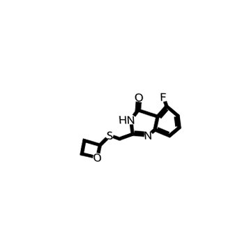 O=c1[nH]c(CSC2CCO2)nc2cccc(F)c12